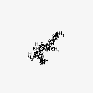 CCc1cc(Nc2ncc(Br)c(Nc3ccc(-c4ccn[nH]4)cc3P(C)C)n2)c(OC)cc1N1CCC(N2CCN(C)CC2)CC1